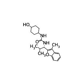 Cc1c([C@@H](NC(=O)NC2CCC(O)CC2)C(C)C)oc2ccccc12